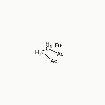 CC(C)=O.CC(C)=O.[Eu]